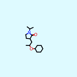 CC(CC1CCN(C(C)C)C1=O)OC1CCCCC1